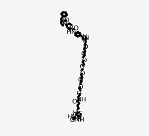 O=C(CCCC[C@@H]1SC[C@@H]2NC(=O)N[C@@H]21)NCCOCCOCCOCCOCCOCCOCCOCCOCCn1cc(-c2ccc(NC(=O)N3CCC(N4CCN(Cc5ccccc5)C4=O)CC3)cc2)nn1